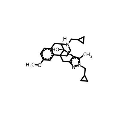 COc1ccc2c(c1)[C@]13CCN(CC4CC4)[C@H](C2)[C@]1(O)Cc1c(nn(CC2CC2)c1C)C3